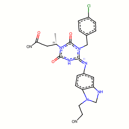 C[C@@H](CC(=O)N=O)n1c(=O)[nH]/c(=N\c2ccc3c(c2)NCN3CCN=O)n(Cc2ccc(Cl)cc2)c1=O